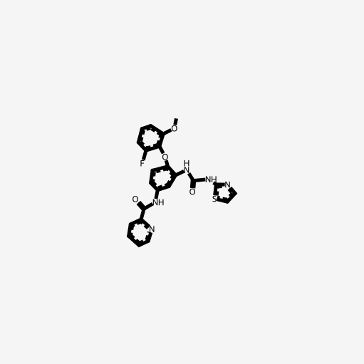 COc1cccc(F)c1Oc1ccc(NC(=O)c2ccccn2)cc1NC(=O)Nc1nccs1